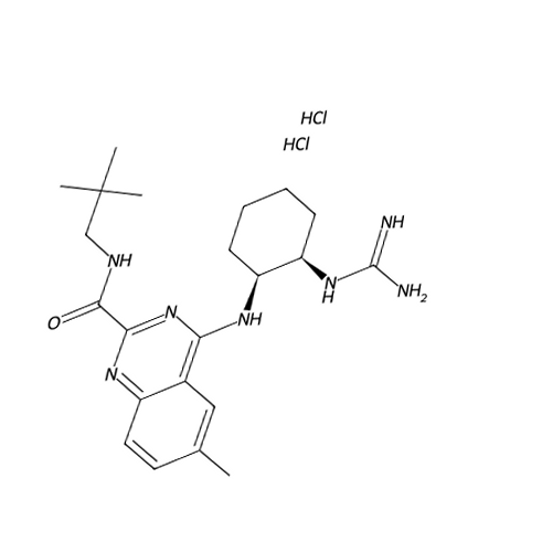 Cc1ccc2nc(C(=O)NCC(C)(C)C)nc(N[C@H]3CCCC[C@H]3NC(=N)N)c2c1.Cl.Cl